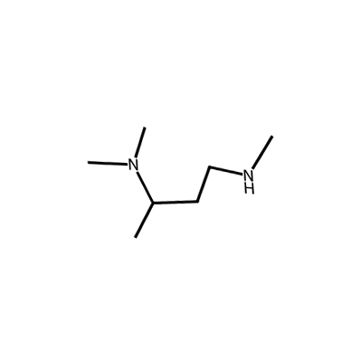 CNCCC(C)N(C)C